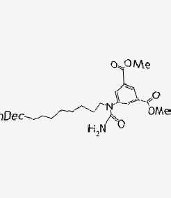 CCCCCCCCCCCCCCCCCCN(C(N)=O)c1cc(C(=O)OC)cc(C(=O)OC)c1